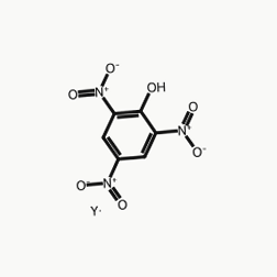 O=[N+]([O-])c1cc([N+](=O)[O-])c(O)c([N+](=O)[O-])c1.[Y]